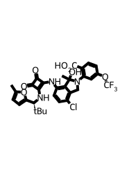 Cc1ccc([C@H](Nc2c(Nc3ccc(Cl)c4c3C(C)(O)N(c3cc(OC(F)(F)F)ccc3C(=O)O)C4)c(=O)c2=O)C(C)(C)C)o1